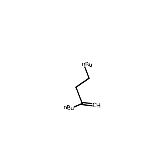 [CH]=C(CCCC)CCCCCC